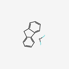 F[B]F.c1ccc2c(c1)Cc1ccccc1-2